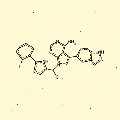 CC(c1cnc(-c2ccccc2F)[nH]1)n1cc(-c2ccc3[nH]ncc3c2)c2c(N)ncnc21